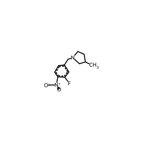 CC1CCN(Cc2ccc([N+](=O)[O-])c(F)c2)C1